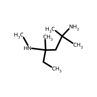 CCC(C)(CC(C)(C)N)NC